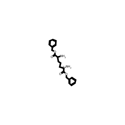 NC(CCC[C@H](N)C(=O)OCc1ccccc1)C(=O)OCc1ccccc1